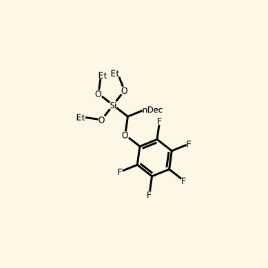 CCCCCCCCCCC(Oc1c(F)c(F)c(F)c(F)c1F)[Si](OCC)(OCC)OCC